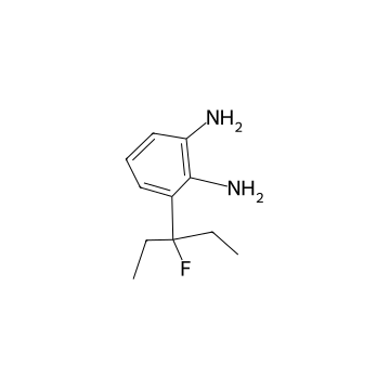 CCC(F)(CC)c1cccc(N)c1N